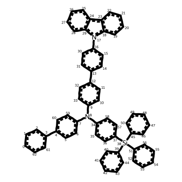 c1ccc(-c2ccc(N(c3ccc(-c4ccc(-n5c6ccccc6c6ccccc65)cc4)cc3)c3ccc([Si](c4ccccc4)(c4ccccc4)c4ccccc4)cc3)cc2)cc1